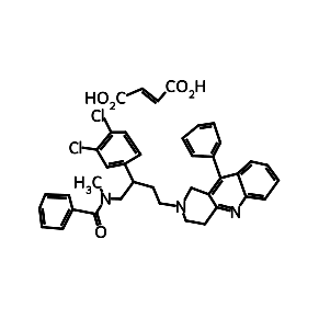 CN(CC(CCN1CCc2nc3ccccc3c(-c3ccccc3)c2C1)c1ccc(Cl)c(Cl)c1)C(=O)c1ccccc1.O=C(O)/C=C/C(=O)O